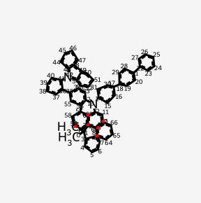 CC1(C)c2ccccc2-c2ccc(N(c3ccc(-c4ccc(-c5ccccc5)cc4)cc3)c3ccc(-c4ccccc4-n4c5ccccc5c5ccccc54)cc3-c3cccc(-c4ccccc4)c3)cc21